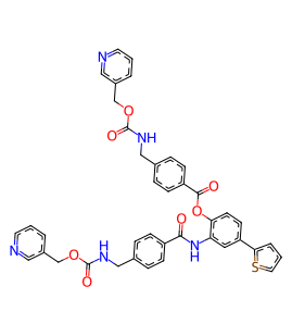 O=C(NCc1ccc(C(=O)Nc2cc(-c3cccs3)ccc2OC(=O)c2ccc(CNC(=O)OCc3cccnc3)cc2)cc1)OCc1cccnc1